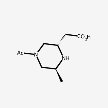 CC(=O)N1C[C@H](CC(=O)O)N[C@@H](C)C1